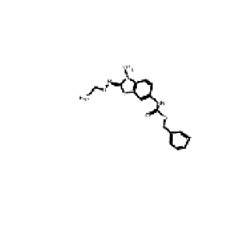 CCO/N=c1\sc2cc(NC(=O)OCc3ccccc3)ccc2n1C